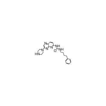 O=C(NCCCCc1ccccc1)Nc1ccc2ncc(N3CCNCC3)nc2n1